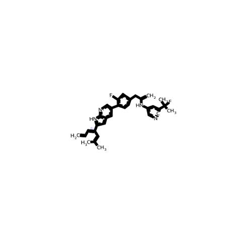 C=C/C=C(\C=C(C)C)c1cc2cc(-c3ccc(CC(=C)Nc4cncc(C(C)(C)F)c4)cc3F)cnc2[nH]1